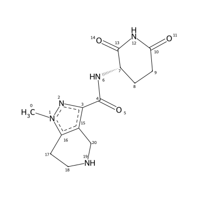 Cn1nc(C(=O)N[C@H]2CCC(=O)NC2=O)c2c1CCNC2